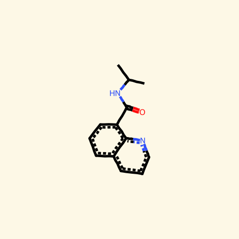 CC(C)NC(=O)c1cccc2cccnc12